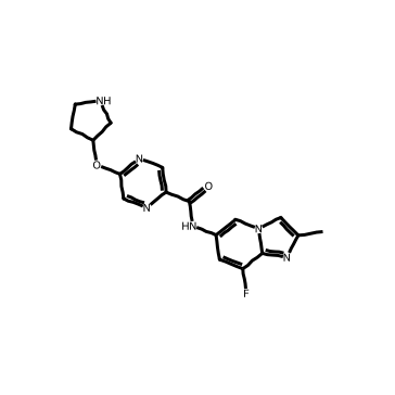 Cc1cn2cc(NC(=O)c3cnc(OC4CCNC4)cn3)cc(F)c2n1